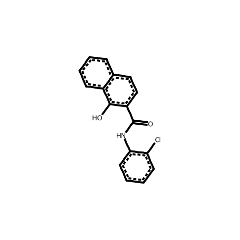 O=C(Nc1ccccc1Cl)c1ccc2ccccc2c1O